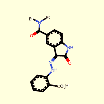 CCN(CC)C(=O)c1ccc2c(c1)/C(=N/Nc1ccccc1C(=O)O)C(=O)N2